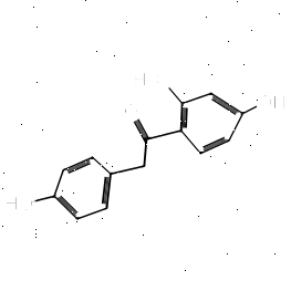 Cc1cc(O)ccc1C(=O)Cc1ccc(O)cc1